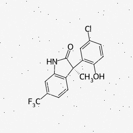 C[C@@]1(c2cc(Cl)ccc2O)C(=O)Nc2cc(C(F)(F)F)ccc21